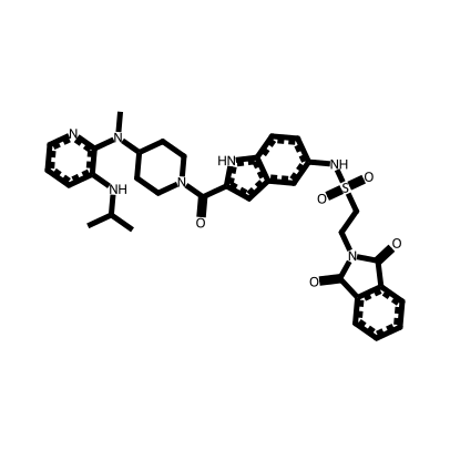 CC(C)Nc1cccnc1N(C)C1CCN(C(=O)c2cc3cc(NS(=O)(=O)CCN4C(=O)c5ccccc5C4=O)ccc3[nH]2)CC1